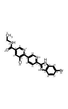 CCNC(=O)c1cnc(-c2ccc(-c3nc4ccc(Br)cc4[nH]3)nc2)c(Cl)c1